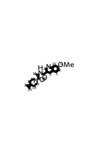 COc1ccc2cc(C(=O)N[C@H](C)C(=O)N3CCC4(CC3)CC4)cnc2c1